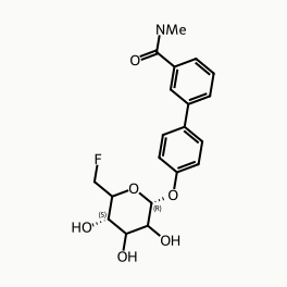 CNC(=O)c1cccc(-c2ccc(O[C@H]3OC(CF)[C@@H](O)C(O)C3O)cc2)c1